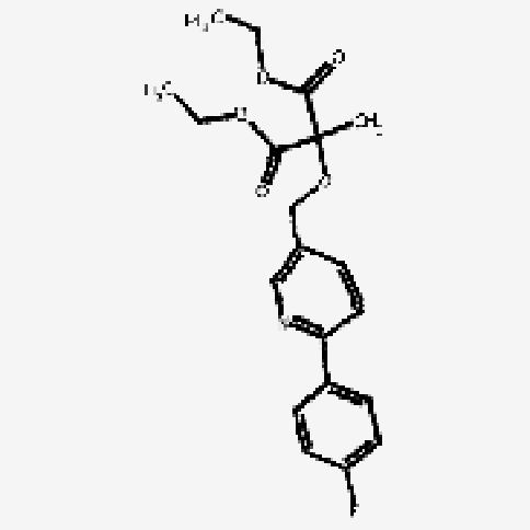 CCOC(=O)C(C)(OCc1ccc(-c2ccc(F)cc2)nc1)C(=O)OCC